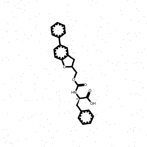 O=C(N[C@H](Cc1ccccc1)C(=O)O)OCC1Cc2cc(-c3ccccc3)ccc2O1